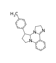 Cc1ccc(C2CCN3c4ccccc4C4=NCCN4C23)cc1